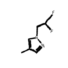 Cc1[c]nn(CC(F)F)c1